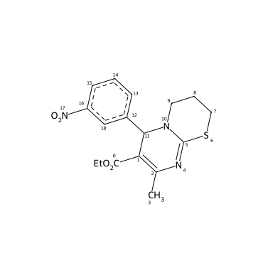 CCOC(=O)C1=C(C)N=C2SCCCN2C1c1cccc([N+](=O)[O-])c1